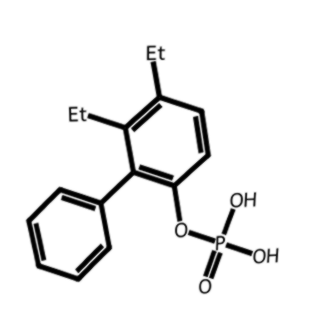 CCc1ccc(OP(=O)(O)O)c(-c2ccccc2)c1CC